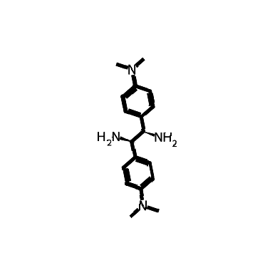 CN(C)c1ccc([C@@H](N)[C@H](N)c2ccc(N(C)C)cc2)cc1